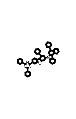 c1ccc(-c2nc(-c3ccccc3)nc(-c3ccc4c(c3)oc3cc(-n5c6ccccc6c6c7ccccc7c(-c7ccccc7)cc65)cc(-c5ccccc5)c34)n2)cc1